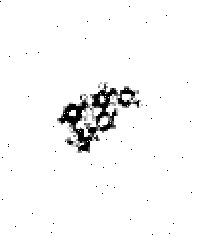 Cc1ccc(C(=O)Nc2ccc(CN3CCN(C)CC3)c(C(F)(F)F)c2)cc1Oc1nc(N2CCN(C)CC2)nc2ccn(C)c12